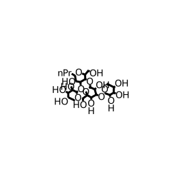 CCCC1OC(CO)C(OC2OC(CO)C(O)C(OC3OCC(O)C(O)C3O)C2O)C(OC2OCC(O)C(O)C2O)C1O